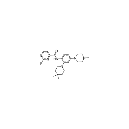 CN1CCN(c2ccc(NC(=O)c3ccnc(F)n3)c(N3CCC(C)(C)CC3)c2)CC1